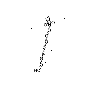 O=C1c2ccccc2C(=O)N1CCOCCOCCOCCOCCOCCOCCOCCO